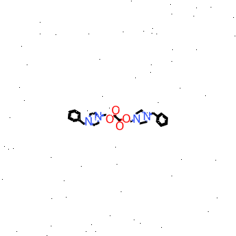 O=C(OCN1CCN(Cc2ccccc2)CC1)C(=O)OCN1CCN(Cc2ccccc2)CC1